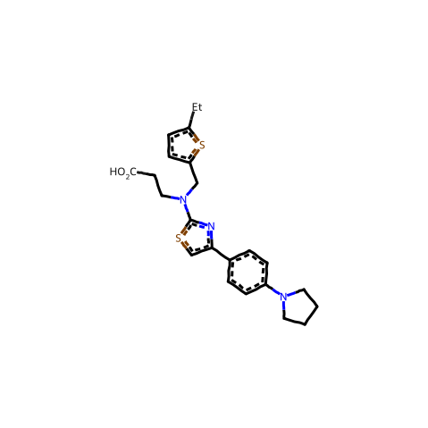 CCc1ccc(CN(CCC(=O)O)c2nc(-c3ccc(N4CCCC4)cc3)cs2)s1